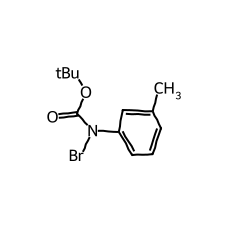 Cc1cccc(N(Br)C(=O)OC(C)(C)C)c1